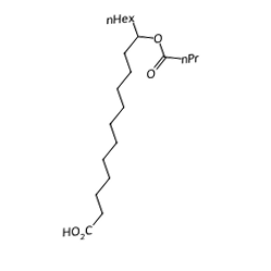 CCCCCCC(CCCCCCCCCCC(=O)O)OC(=O)CCC